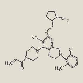 C=CC(=O)N1CCN(c2c(C#N)c(OCC3CCCN3C)nc3c2CCN(c2c(C)cccc2Cl)C3)CC1